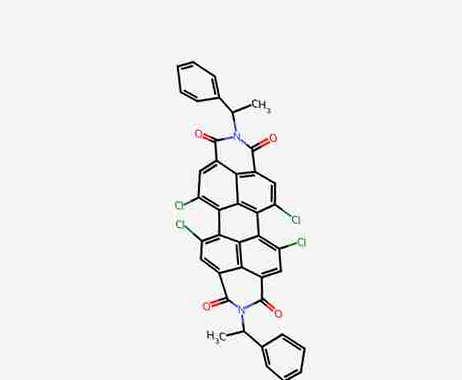 CC(c1ccccc1)N1C(=O)c2cc(Cl)c3c4c(Cl)cc5c6c(cc(Cl)c(c7c(Cl)cc(c2c37)C1=O)c64)C(=O)N(C(C)c1ccccc1)C5=O